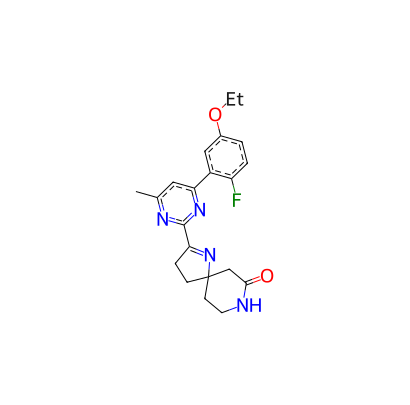 CCOc1ccc(F)c(-c2cc(C)nc(C3=NC4(CCNC(=O)C4)CC3)n2)c1